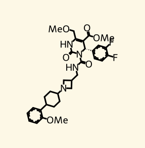 COCC1=C(C(=O)OC)[C@H](c2ccc(F)c(F)c2)N(C(=O)NCC2CN(C3CCC(c4ccccc4OC)CC3)C2)C(=O)N1